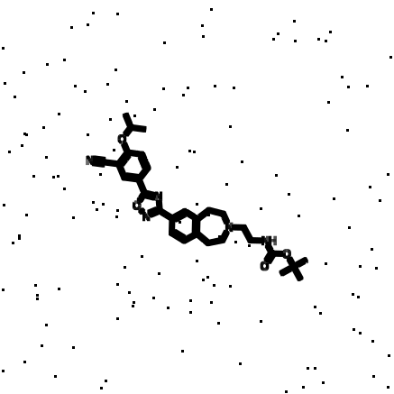 CC(C)Oc1ccc(-c2nc(-c3ccc4c(c3)CCN(CCNC(=O)OC(C)(C)C)CC4)no2)cc1C#N